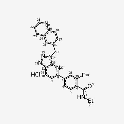 CCNC(=O)c1ccc(-c2ccc3nnn(Cc4ccc5ncccc5c4)c3n2)cc1F.Cl